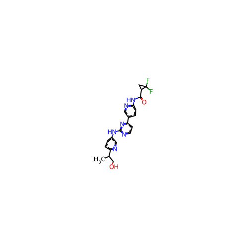 CC(CO)c1ccc(Nc2nccc(-c3ccc(NC(=O)C4CC4(F)F)nc3)n2)cn1